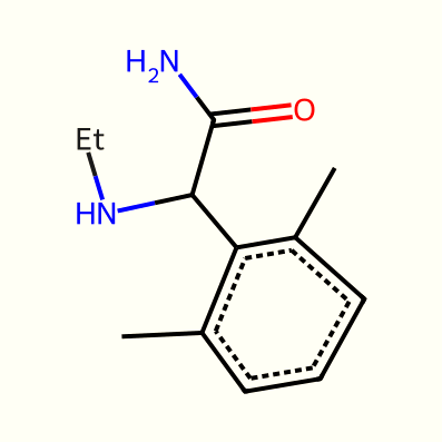 CCNC(C(N)=O)c1c(C)cccc1C